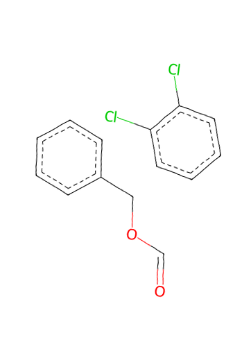 Clc1ccccc1Cl.O=COCc1ccccc1